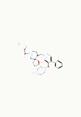 C[C@H](CC(F)(F)F)C(=O)N1CC[C@](O)(CN2C=C(C(=O)N3CCNCC3)C(c3ccccc3F)=CC2)C2(CCCC2)C1